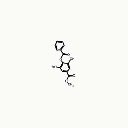 COC(=O)c1cc(O)c(OC(=O)c2ccccc2)c(O)c1